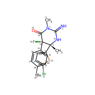 CN1C(=N)N[C@](C)(c2ccc(Br)s2)[C@](F)(c2ccc(C(C)(C)C)cc2)C1=O